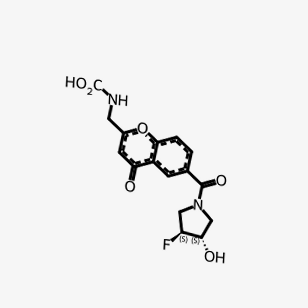 O=C(O)NCc1cc(=O)c2cc(C(=O)N3C[C@H](O)[C@@H](F)C3)ccc2o1